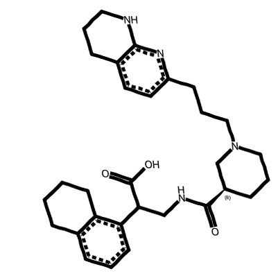 O=C(O)C(CNC(=O)[C@@H]1CCCN(CCCc2ccc3c(n2)NCCC3)C1)c1cccc2c1CCCC2